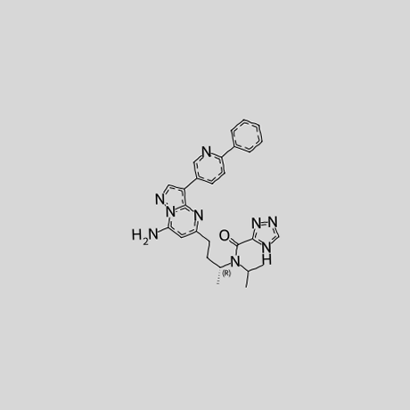 CC(C)N(C(=O)c1nnc[nH]1)[C@H](C)CCc1cc(N)n2ncc(-c3ccc(-c4ccccc4)nc3)c2n1